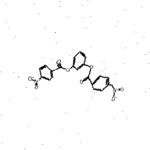 O=C(Oc1cccc(OC(=O)c2ccc([N+](=O)[O-])cc2)c1)c1ccc([N+](=O)[O-])cc1